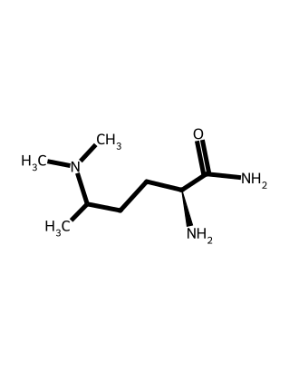 CC(CC[C@H](N)C(N)=O)N(C)C